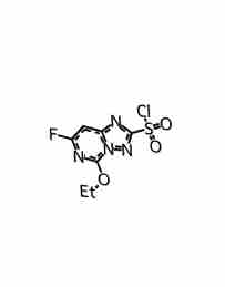 CCOc1nc(F)cc2nc(S(=O)(=O)Cl)nn12